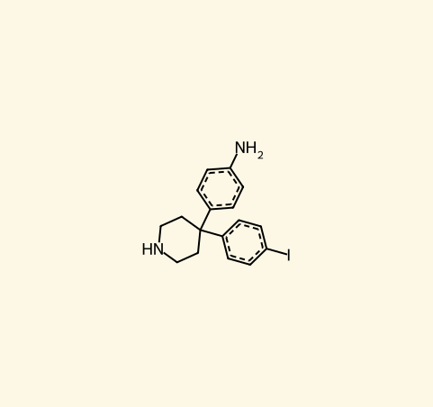 Nc1ccc(C2(c3ccc(I)cc3)CCNCC2)cc1